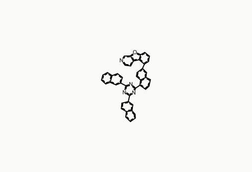 c1ccc2cc(-c3nc(-c4ccc5ccccc5c4)nc(-c4cccc5cc(-c6cccc7oc8cnccc8c67)ccc45)n3)ccc2c1